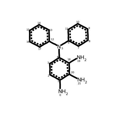 Nc1ccc(N(c2ccccc2)c2ccccc2)c(N)c1N